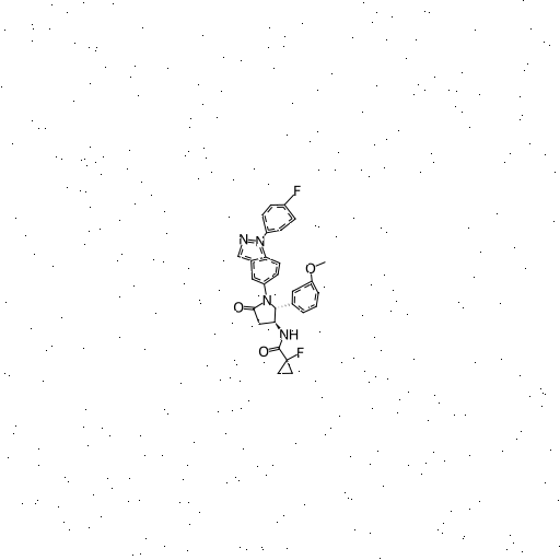 COc1cccc([C@@H]2[C@@H](NC(=O)C3(F)CC3)CC(=O)N2c2ccc3c(cnn3-c3ccc(F)cc3)c2)c1